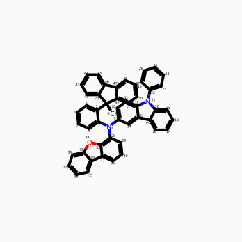 CC1(c2ccccc2N(c2ccc3c(c2)c2ccccc2n3-c2ccccc2)c2cccc3c2oc2ccccc23)c2ccccc2-c2ccccc21